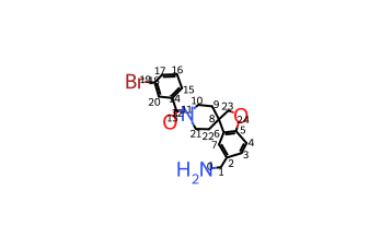 NCc1ccc2c(c1)C1(CCN(C(=O)c3cccc(Br)c3)CC1)CO2